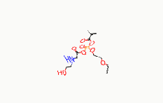 C=C(C)C(=O)OP(=O)(OCCOCC)OC(=O)CNCCO